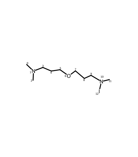 CN(C)CCCOCCCN(C)I